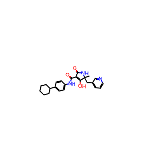 CC1(Cc2cccnc2)NC(=O)C(C(=O)Nc2ccc(C3CCCCC3)cc2)=C1O